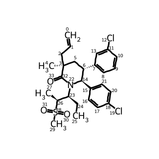 C=CC[C@@]1(C)C[C@H](c2cccc(Cl)c2)[C@@H](c2ccc(Cl)cc2)N([C@@H](CC)[C@H](C)S(C)(=O)=O)C1=O